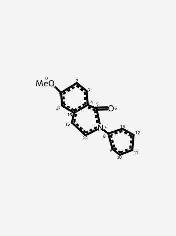 COc1ccc2c(=O)n(-c3ccccc3)ccc2c1